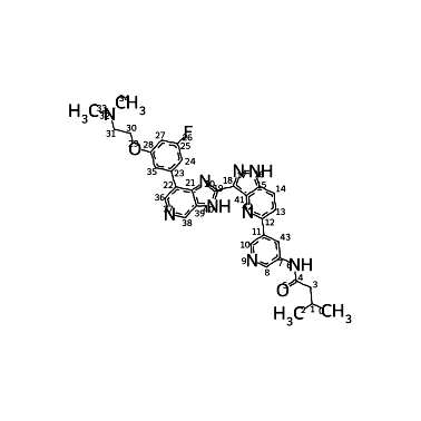 CC(C)CC(=O)Nc1cncc(-c2ccc3[nH]nc(-c4nc5c(-c6cc(F)cc(OCCN(C)C)c6)cncc5[nH]4)c3n2)c1